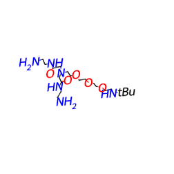 CC(C)(C)NCCOCCOCCOCCN(CC(=O)NCCN)CC(=O)NCCN